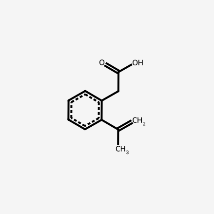 C=C(C)c1ccccc1CC(=O)O